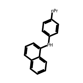 CCCc1ccc(Pc2cccc3ccccc23)cc1